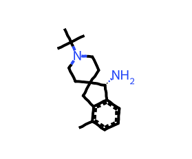 Cc1cccc2c1CC1(CCN(C(C)(C)C)CC1)[C@@H]2N